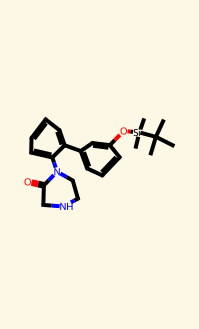 CC(C)(C)[Si](C)(C)Oc1cccc(-c2ccccc2N2CCNCC2=O)c1